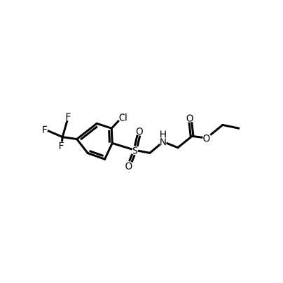 CCOC(=O)CNCS(=O)(=O)c1ccc(C(F)(F)F)cc1Cl